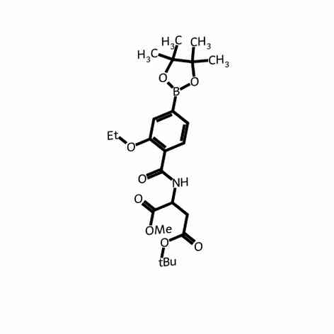 CCOc1cc(B2OC(C)(C)C(C)(C)O2)ccc1C(=O)NC(CC(=O)OC(C)(C)C)C(=O)OC